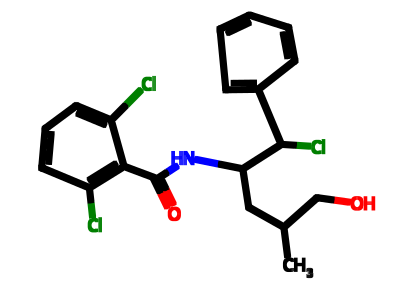 CC(CO)CC(NC(=O)c1c(Cl)cccc1Cl)C(Cl)c1ccccc1